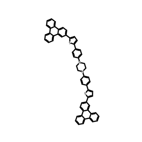 c1ccc2c(c1)c1ccccc1c1cc(-c3ccc(-c4ccc(N5CCN(c6ccc(-c7ccc(-c8ccc9c%10ccccc%10c%10ccccc%10c9c8)s7)cc6)CC5)cc4)s3)ccc21